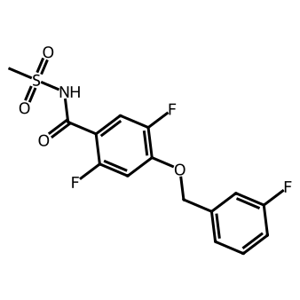 CS(=O)(=O)NC(=O)c1cc(F)c(OCc2cccc(F)c2)cc1F